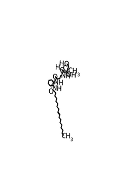 CCCCCCCCC=CCCCCCCCC(=O)N[C@@H]1CCCC[C@H]1NC(=O)CCNC(=O)[C@H](O)C(C)(C)CO